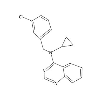 Clc1cccc(CN(c2ncnc3ccccc23)C2CC2)c1